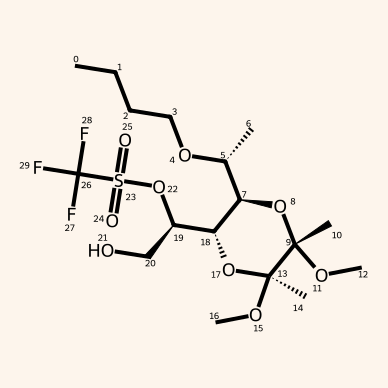 CCCCO[C@H](C)[C@H]1O[C@](C)(OC)[C@@](C)(OC)O[C@@H]1[C@@H](CO)OS(=O)(=O)C(F)(F)F